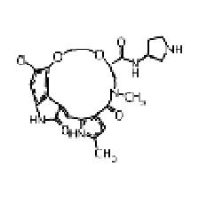 Cc1cc2c([nH]1)/C=C1\C(=O)Nc3cc(Cl)c(cc31)OCCO[C@@H](C(=O)NC1CCNC1)CN(C)C2=O